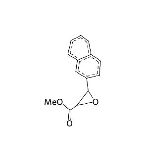 COC(=O)C1OC1c1ccc2ccccc2c1